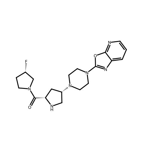 O=C([C@@H]1C[C@H](N2CCN(c3nc4cccnc4o3)CC2)CN1)N1CC[C@H](F)C1